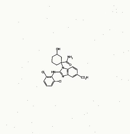 NC(=O)C1(n2c(Nc3c(Cl)cccc3Cl)nc3cc(C(=O)O)ccc32)CCCC(O)C1